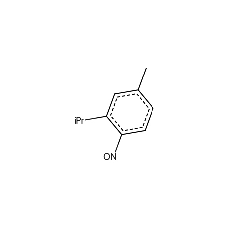 Cc1ccc(N=O)c(C(C)C)c1